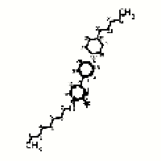 CCCCCCCCOc1ccc(-c2ccc([C@H]3CC[C@H](CCCCC)CC3)cc2)nc1F